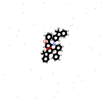 CC1(C)c2ccccc2-c2cc(-c3c(-c4ccccc4)cccc3N(c3ccc4c(c3)-c3ccccc3C4(C)C)c3cccc4oc5ccccc5c34)ccc21